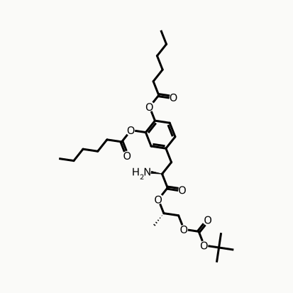 CCCCCC(=O)Oc1ccc(C[C@H](N)C(=O)O[C@@H](C)COC(=O)OC(C)(C)C)cc1OC(=O)CCCCC